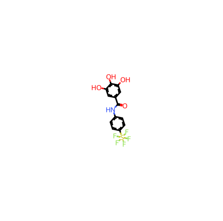 O=C(Nc1ccc(S(F)(F)(F)(F)F)cc1)c1cc(O)c(O)c(O)c1